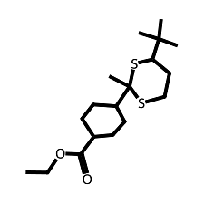 CCOC(=O)C1CCC(C2(C)SCCC(C(C)(C)C)S2)CC1